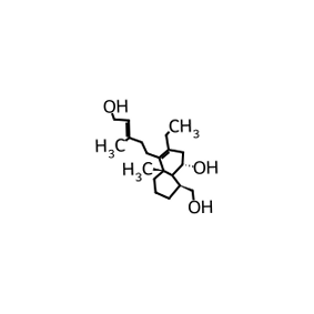 CCC1=C(CC/C(C)=C/CO)[C@@]2(C)CCC[C@H](CO)C2[C@@H](O)C1